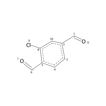 O=[C]c1ccc([C]=O)c(Cl)c1